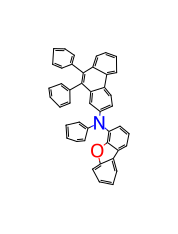 c1ccc(-c2c(-c3ccccc3)c3cc(N(c4ccccc4)c4cccc5c4oc4ccccc45)ccc3c3ccccc23)cc1